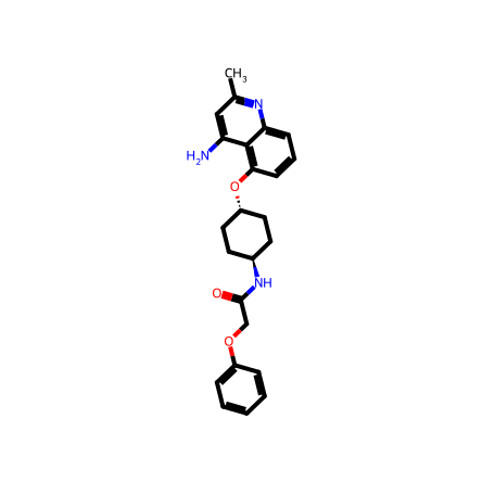 Cc1cc(N)c2c(O[C@H]3CC[C@H](NC(=O)COc4ccccc4)CC3)cccc2n1